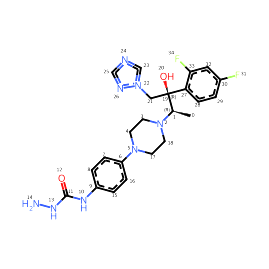 C[C@@H](N1CCN(c2ccc(NC(=O)NN)cc2)CC1)[C@](O)(Cn1cncn1)c1ccc(F)cc1F